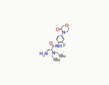 CC(C)(C)CN(CC(C)(C)C)[C@@H](CN)C(=O)Nc1ccc(N2CCOCC2=O)cc1F